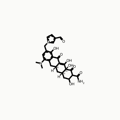 CN(C)c1cc(Cn2ccc(C=O)c2)c(O)c2c1C[C@H]1C[C@H]3CC(O)C(C(N)=O)C(=O)[C@@]3(O)C(O)=C1C2=O